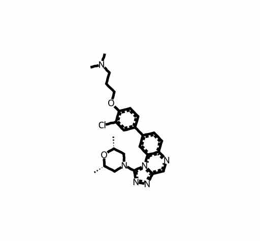 C[C@@H]1CN(c2nnc3cnc4ccc(-c5ccc(OCCCN(C)C)c(Cl)c5)cc4n23)C[C@H](C)O1